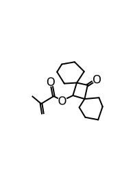 C=C(C)C(=O)OC1C2(CCCCC2)C(=O)C12CCCCC2